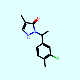 Cc1ccc(C(C)n2[nH]cc(C)c2=O)cc1Cl